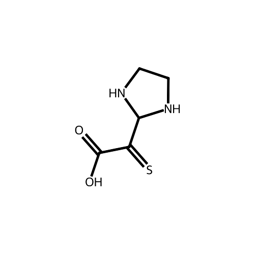 O=C(O)C(=S)C1NCCN1